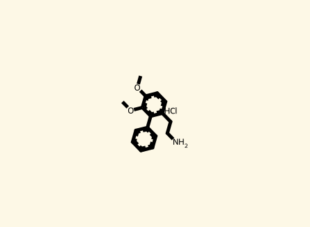 COc1ccc(CCN)c(-c2ccccc2)c1OC.Cl